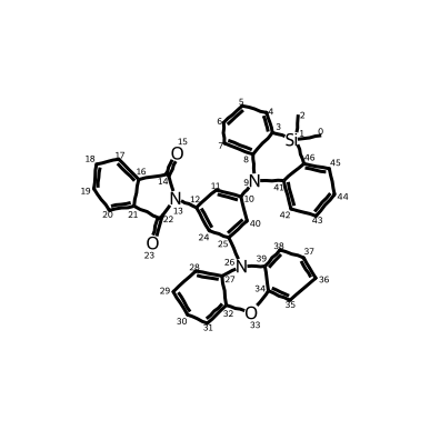 C[Si]1(C)c2ccccc2N(c2cc(N3C(=O)c4ccccc4C3=O)cc(N3c4ccccc4Oc4ccccc43)c2)c2ccccc21